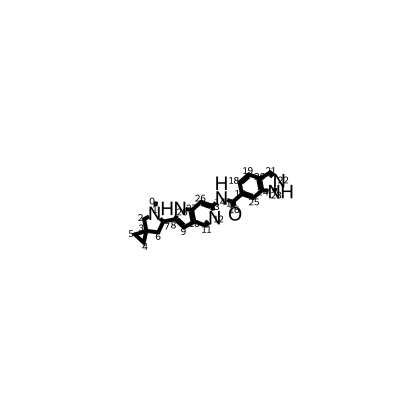 CN1CC2(CC2)CC1c1cc2cnc(NC(=O)c3ccc4cn[nH]c4c3)cc2[nH]1